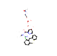 C[C@@H](N1CN([C@@H]2c3ccccc3SCc3cccc(Cl)c32)n2ccc(=O)c(OCOC(=O)OCCNC(=O)C(F)(F)F)c2C1=O)C(F)(F)F